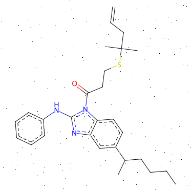 C=CCC(C)(C)SCCC(=O)n1c(Nc2ccccc2)nc2cc(C(C)CCCC)ccc21